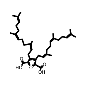 CC(C)=CCCC(C)=CCCC(C)=CCc1c(C(=O)O)oc(C(=O)O)c1CC=C(C)CCC=C(C)CCC=C(C)C